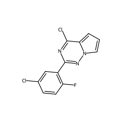 Fc1ccc(Cl)cc1-c1nc(Cl)c2cccn2n1